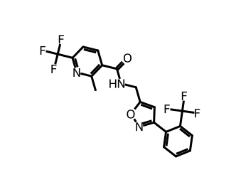 Cc1nc(C(F)(F)F)ccc1C(=O)NCc1cc(-c2ccccc2C(F)(F)F)no1